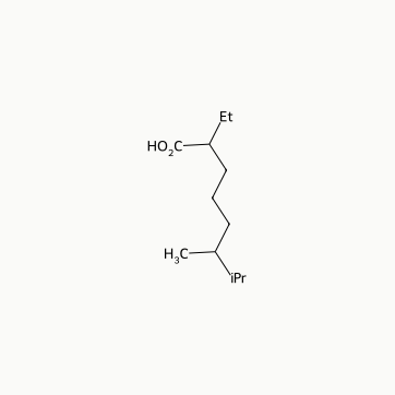 CCC(CCCC(C)C(C)C)C(=O)O